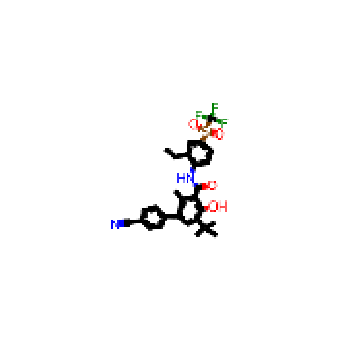 CCc1cc(S(=O)(=O)C(F)(F)F)ccc1NC(=O)c1c(C)c(-c2ccc(C#N)cc2)cc(C(C)(C)C)c1O